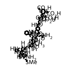 CSCC[C@H](NC(=O)C(CC(C)C)NC(=O)[C@H](Cc1cnc[nH]1)NC(=O)CNC(=O)[C@@H](NC(=O)[C@H](C)NC(=O)[C@H](Cc1c[nH]c2ccccc12)NC(=O)[C@H](CCC(N)=O)NC(=O)c1ccc(NC(=O)CNC(=O)CCC2(N(CC(=O)O)CC(=O)O)CN(CC(=O)O)CCN(CC(=O)O)C2)cc1)C(C)C)C(N)=O